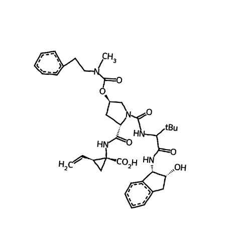 C=C[C@@H]1C[C@]1(NC(=O)[C@@H]1C[C@@H](OC(=O)N(C)CCc2ccccc2)CN1C(=O)NC(C(=O)N[C@H]1c2ccccc2C[C@H]1O)C(C)(C)C)C(=O)O